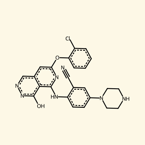 N#Cc1cc(N2CCNCC2)ccc1Nc1nc(Oc2ccccc2Cl)cc2cnnc(O)c12